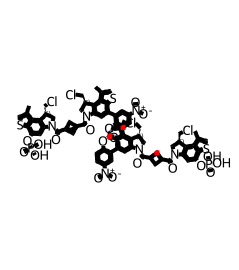 Cc1csc2c(OP(=O)(O)O)cc3c(c12)[C@H](CCl)CN3C(=O)C12CC(C(=O)N3C[C@@H](CCl)c4c3cc(-c3cc([N+](=O)[O-])ccc3OC(=O)Oc3ccc([N+](=O)[O-])cc3-c3cc5c(c6c(C)csc36)[C@H](CCl)CN5C(=O)C35CC(C(=O)N6C[C@@H](CCl)c7c6cc(OP(=O)(O)O)c6scc(C)c76)(C3)C5)c3scc(C)c43)(C1)C2